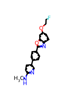 CNc1ccc(-c2ccc(-c3nc4ccc(OCCF)cc4o3)cc2)cn1